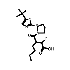 CCCCC(C(=O)N1CCC[C@@H]1c1ncc(C(C)(C)C)o1)C(O)C(=O)O